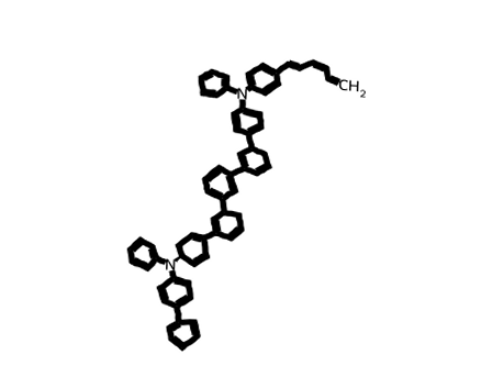 C=C/C=C\C=C\c1ccc(N(c2ccccc2)c2ccc(C3C=C(c4cccc(C5C=C(C6=CC[C@H](N(c7ccccc7)c7ccc(-c8ccccc8)cc7)C=C6)C=CC5)c4)C=CC3)cc2)cc1